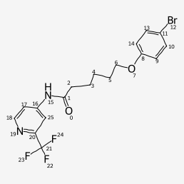 O=C(CCCCCOc1ccc(Br)cc1)Nc1ccnc(C(F)(F)F)c1